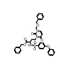 O=C(OCc1ccccc1)C(CCn1c(=O)ccn(COCc2ccccc2)c1=O)NS(=O)(=O)c1ccc(Oc2ccccc2)cc1